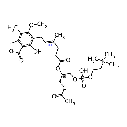 COc1c(C)c2c(c(O)c1C/C=C(\C)CCC(=O)O[C@H](COC(C)=O)COP(=O)(O)OCC[N+](C)(C)C)C(=O)OC2